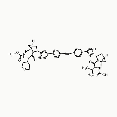 COC(=O)N[C@H](C(=O)N1[C@@H]2C[C@H]2C[C@H]1c1nc(-c2ccc(C#Cc3ccc(-c4c[nH]c([C@@H]5C[C@H]6C[C@H]6N5C(=O)[C@@H](NC(=O)O)C(C)C)n4)cc3)cc2)c[nH]1)C1CCOCC1